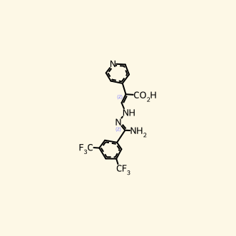 N/C(=N\N/C=C(\C(=O)O)c1ccncc1)c1cc(C(F)(F)F)cc(C(F)(F)F)c1